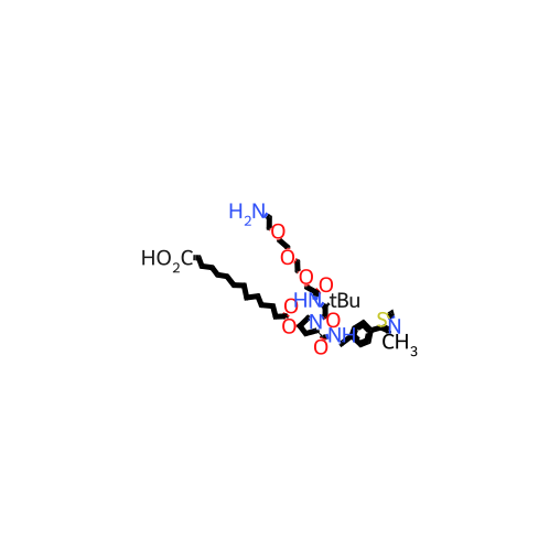 Cc1ncsc1-c1ccc(CNC(=O)[C@@H]2C[C@@H](OC(=O)CCCCCCCCCCCCC(=O)O)CN2C(=O)[C@@H](NC(=O)COCCOCCOCCN)C(C)(C)C)cc1